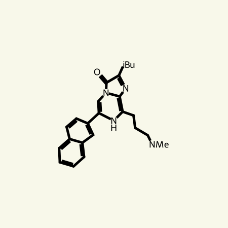 CCC(C)c1nc2c(CCCNC)[nH]c(-c3ccc4ccccc4c3)cn-2c1=O